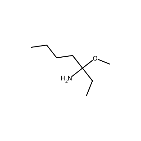 CCCCC(N)(CC)OC